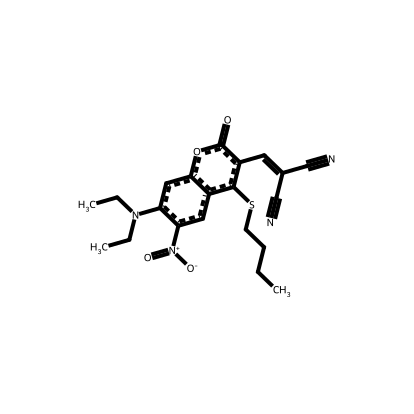 CCCCSc1c(C=C(C#N)C#N)c(=O)oc2cc(N(CC)CC)c([N+](=O)[O-])cc12